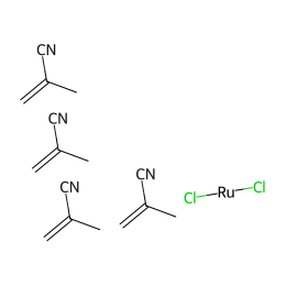 C=C(C)C#N.C=C(C)C#N.C=C(C)C#N.C=C(C)C#N.[Cl][Ru][Cl]